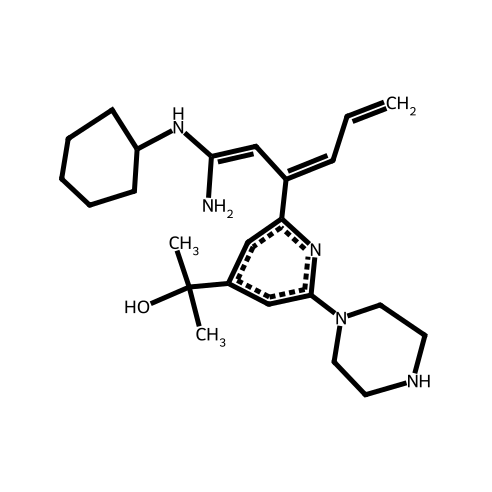 C=C/C=C(\C=C(/N)NC1CCCCC1)c1cc(C(C)(C)O)cc(N2CCNCC2)n1